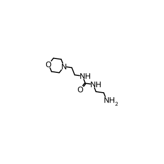 NCCNC(=O)NCCN1CCOCC1